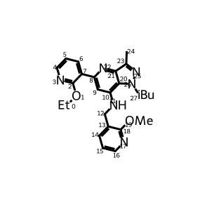 CCOc1ncccc1-c1cc(NCc2cccnc2OC)c2c(n1)c(C)nn2C(C)CC